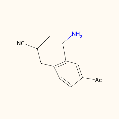 CC(=O)c1ccc(CC(C)C#N)c(CN)c1